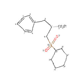 CCOC(=O)[C@@H](Cc1ccccc1)CS(=O)(=O)C1CCCCC1